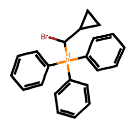 BrC(C1CC1)[PH](c1ccccc1)(c1ccccc1)c1ccccc1